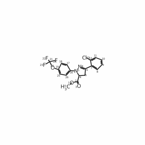 COC(=O)C1CC(c2ccccc2Cl)=NN1c1ccc(OC(F)(F)F)cc1